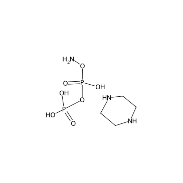 C1CNCCN1.NOP(=O)(O)OP(=O)(O)O